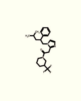 CC(C)CC(Cn1ccnc1CC(=O)N1CCCC(C(F)(F)F)C1)c1ccccc1